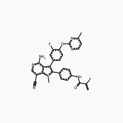 C=C(F)C(=O)Nc1ccc(-c2c(-c3ccc(Oc4nccc(C)n4)c(F)c3)c3c(N)ncc(C#N)c3n2C)cc1